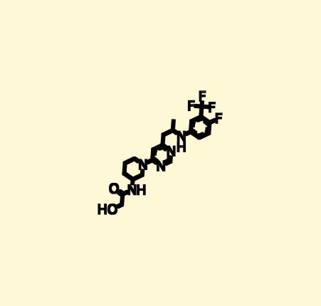 CC(Cc1cc(N2CCCC(NC(=O)CO)C2)ncn1)Nc1ccc(F)c(C(F)(F)F)c1